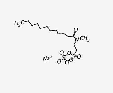 CCCCCCCCCCCC(=O)N(C)CCS(=O)(=O)OS(=O)(=O)[O-].[Na+]